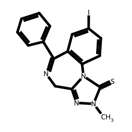 Cn1nc2n(c1=S)-c1ccc(I)cc1C(c1ccccc1)=NC2